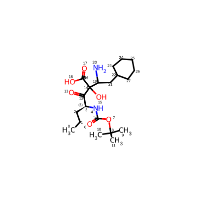 CCC[C@H](NC(=O)OC(C)(C)C)C(=O)C(O)(C(=O)O)C(N)CC1CCCCC1